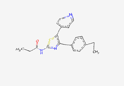 CCC(=O)Nc1nc(-c2ccc(CC)cc2)c(-c2ccncc2)s1